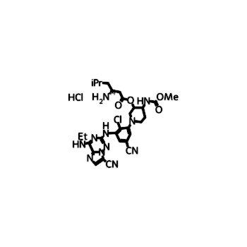 CCNc1nc(Nc2cc(C#N)cc(N3CCC(NC(=O)OC)C(OC(=O)C[C@H](N)CC(C)C)C3)c2Cl)nn2c(C#N)cnc12.Cl